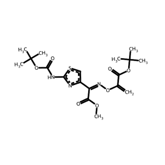 C=C(ON=C(C(=O)OC)c1csc(NC(=O)OC(C)(C)C)n1)C(=O)OC(C)(C)C